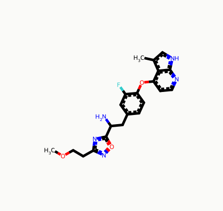 COCCc1noc(C(N)Cc2ccc(Oc3ccnc4[nH]cc(C)c34)c(F)c2)n1